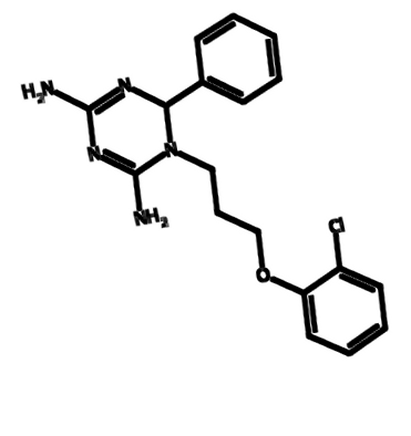 NC1=NC(c2ccccc2)N(CCCOc2ccccc2Cl)C(N)=N1